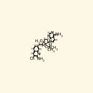 CC1(C)O[C@@H]2[C@@](C)(CCc3ccc4cc(Cl)c(N)nc4c3)CC[C@@]2(n2ccc3c(N)ncnc32)O1